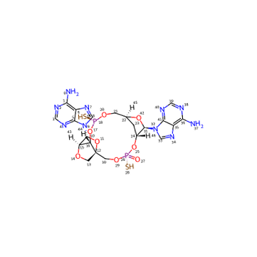 Nc1ncnc2c1ncn2[C@@H]1O[C@@]23CO[C@@H]1[C@@H]2O[P@@](S)OC[C@@H]1C[C@@H](O[P@](=O)(S)OC3)[C@H](n2cnc3c(N)ncnc32)O1